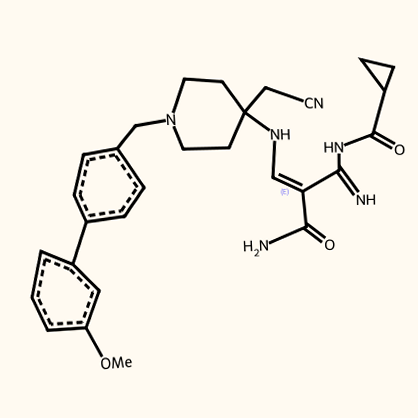 COc1cccc(-c2ccc(CN3CCC(CC#N)(N/C=C(\C(=N)NC(=O)C4CC4)C(N)=O)CC3)cc2)c1